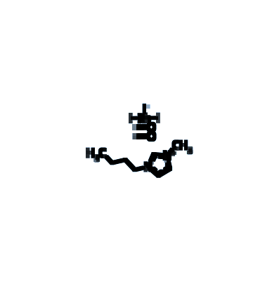 CCCCn1cc[n+](C)c1.[C]=O.[C]=O.[I-].[I][Rh][I]